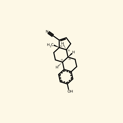 C[C@]12CC[C@@H]3c4ccc(O)cc4CC[C@H]3[C@@H]1CC=C2C#N